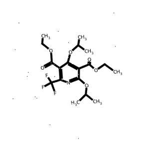 CCOC(=O)c1c(OC(C)C)nc(C(F)(F)F)c(C(=O)OCC)c1OC(C)C